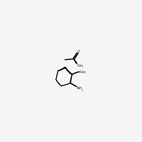 CC(=O)O.NC1CCCCC1O